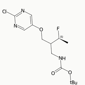 C[C@H](F)C(CNC(=O)OC(C)(C)C)COc1cnc(Cl)nc1